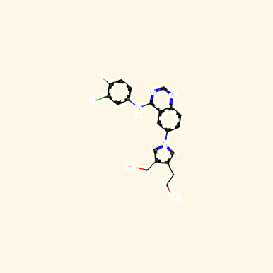 OCCc1cn(-c2ccc3ncnc(Nc4ccc(F)c(Cl)c4)c3c2)cc1CO